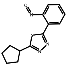 O=Nc1ccccc1-c1nnc(C2CCCC2)s1